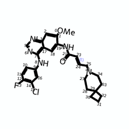 COc1cc2ncnc(Nc3ccc(F)c(Cl)c3)c2cc1NC(=O)/C=C/CN1CCC2(CCC2)CC1